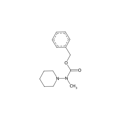 CN(C(=O)OCc1ccccc1)N1CCCCC1